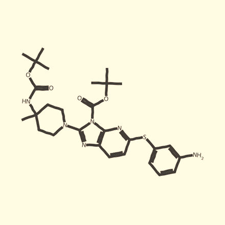 CC1(NC(=O)OC(C)(C)C)CCN(c2nc3ccc(Sc4cccc(N)c4)nc3n2C(=O)OC(C)(C)C)CC1